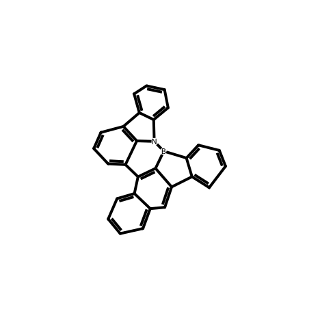 c1ccc2c(c1)B1c3c-2cc2ccccc2c3-c2cccc3c4ccccc4n1c23